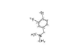 CCc1ccc(CN(C)C)cc1F